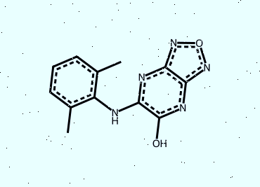 Cc1cccc(C)c1Nc1nc2nonc2nc1O